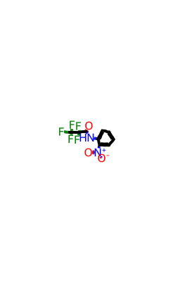 O=C(Nc1ccccc1[N+](=O)[O-])C(F)(F)C(F)(F)F